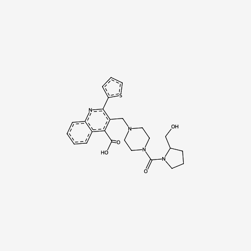 O=C(O)c1c(CN2CCN(C(=O)N3CCCC3CO)CC2)c(-c2cccs2)nc2ccccc12